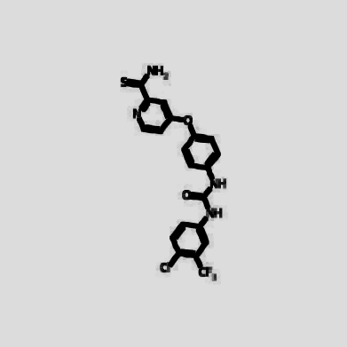 NC(=S)c1cc(Oc2ccc(NC(=O)Nc3ccc(Cl)c(C(F)(F)F)c3)cc2)ccn1